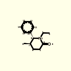 CCN1C(=O)CC[C@@H](C)[C@@H]1c1ccccc1